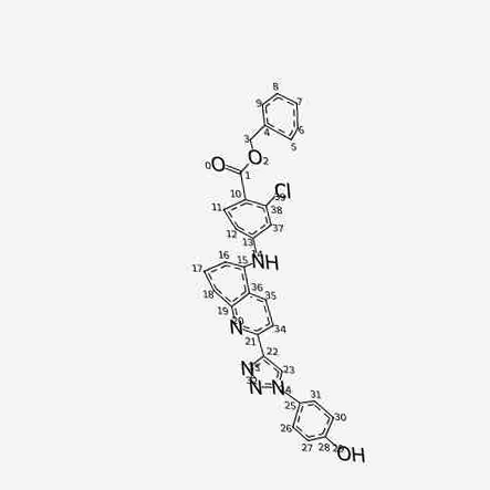 O=C(OCc1ccccc1)c1ccc(Nc2cccc3nc(-c4cn(-c5ccc(O)cc5)nn4)ccc23)cc1Cl